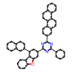 c1ccc(-c2nc(-c3ccc4c(ccc5c6ccccc6ccc45)c3)nc(-c3cc(-c4ccc5ccccc5c4)c4c(c3)oc3ccccc34)n2)cc1